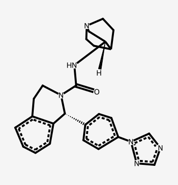 O=C(N[C@@H]1CN2CCC1CC2)N1CCc2ccccc2[C@H]1c1ccc(-n2cncn2)cc1